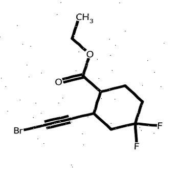 CCOC(=O)C1CCC(F)(F)CC1C#CBr